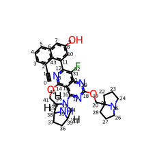 C#Cc1cccc2cc(O)cc(-c3nc4c5c(nc(OCC67CCCN6CCC7)nc5c3F)N3C[C@H]5CC[C@H](N5)[C@H]3CO4)c12